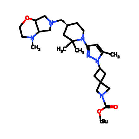 Cc1cc(N2CC[C@@H](CN3CC4OCCN(C)C4C3)CC2(C)C)nn1C1CC2(C1)CN(C(=O)OC(C)(C)C)C2